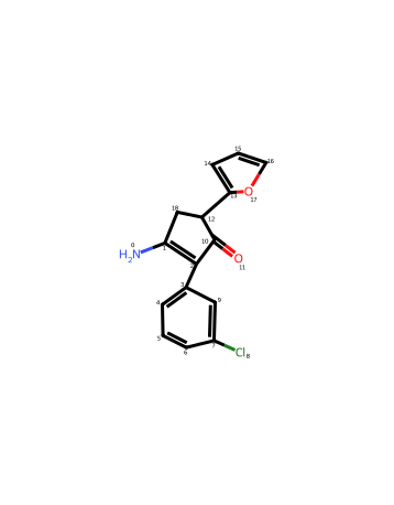 NC1=C(c2cccc(Cl)c2)C(=O)C(c2ccco2)C1